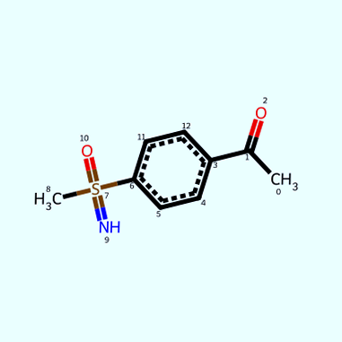 CC(=O)c1ccc(S(C)(=N)=O)cc1